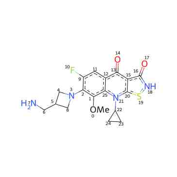 COc1c(N2CC(CN)C2)c(F)cc2c(=O)c3c(=O)[nH]sc3n(C3CC3)c12